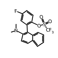 CN(C)c1ccc2ccccc2c1-c1cc(F)ccc1OS(=O)(=O)C(F)(F)F